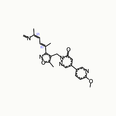 C=N/C(C)=C\C=C(/C)c1noc(C)c1Cn1ncc(-c2ccc(OC)nc2)cc1=O